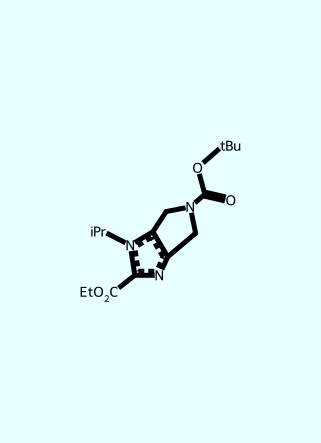 CCOC(=O)c1nc2c(n1C(C)C)CN(C(=O)OC(C)(C)C)C2